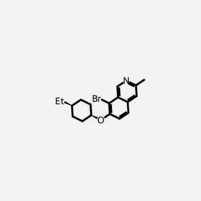 CC[C@H]1CC[C@@H](Oc2ccc3cc(C)ncc3c2Br)CC1